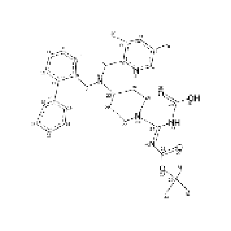 Cc1cnc(CN(Cc2ncccc2-c2ccccc2)C2CCN(/C(=N/C(=O)OC(C)(C)C)NC(=O)O)CC2)c(C)c1